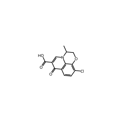 CC1COc2c(Cl)ccc3c(=O)c(C(=O)O)cn1c23